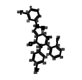 O=c1c2cn(-c3cccc(F)c3)nc2nc(-c2ccccc2F)n1-c1ccc(Br)cc1